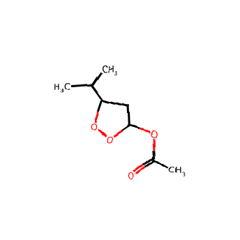 CC(=O)OC1CC(C(C)C)OO1